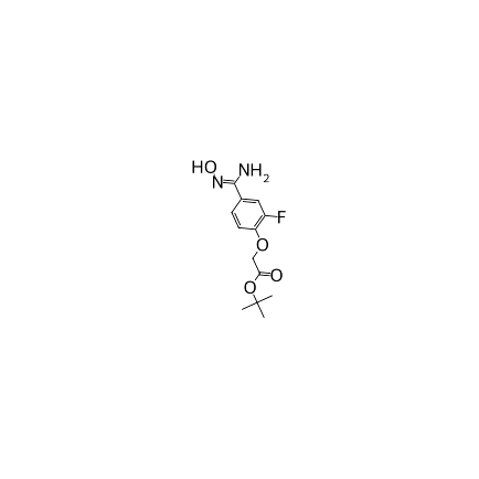 CC(C)(C)OC(=O)COc1ccc(/C(N)=N/O)cc1F